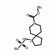 CC(C)(C)OC(=O)N1CCC2(CCC[C@H]2NS(=O)(=O)C(C)(C)C)CC1